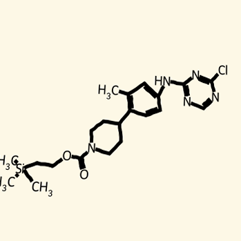 Cc1cc(Nc2ncnc(Cl)n2)ccc1C1CCN(C(=O)OCC[Si](C)(C)C)CC1